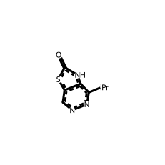 CC(C)c1nncc2sc(=O)[nH]c12